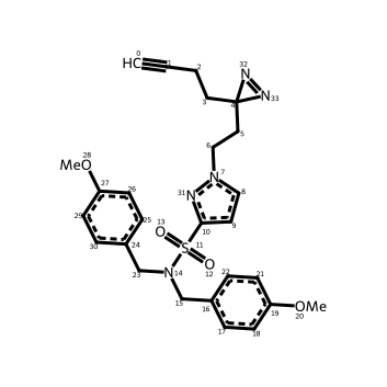 C#CCCC1(CCn2ccc(S(=O)(=O)N(Cc3ccc(OC)cc3)Cc3ccc(OC)cc3)n2)N=N1